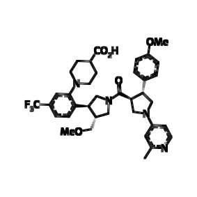 COC[C@H]1CN(C(=O)[C@@H]2CN(c3ccnc(C)c3)C[C@H]2c2ccc(OC)cc2)C[C@@H]1c1ccc(C(F)(F)F)cc1N1CCC(C(=O)O)CC1